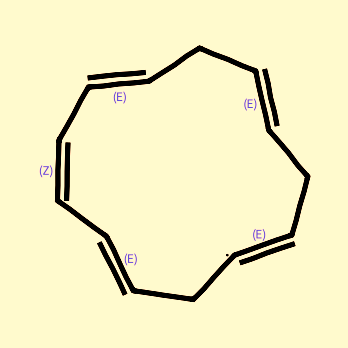 [C]1=C/C/C=C/C/C=C/C=C\C=C\C/1